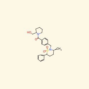 C[C@H]1CCC(c2ccccc2)S(=O)(=O)N1Cc1ccc(C(=O)N2CCCCC2CO)cc1